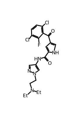 CCN(CC)CCn1cc(NC(=O)c2cc(C(=O)c3c(Cl)ccc(Cl)c3F)c[nH]2)cn1